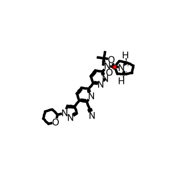 CN(c1ccc(-c2ccc(-c3cnn(C4CCCCO4)c3)c(C#N)n2)nn1)C1C[C@H]2CC[C@@H](C1)N2C(=O)OC(C)(C)C